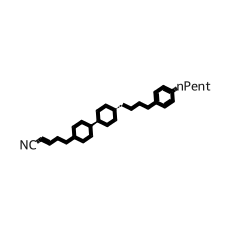 CCCCCc1ccc(CCCC[C@H]2CC[C@H](C3CCC(CC/C=C/C#N)CC3)CC2)cc1